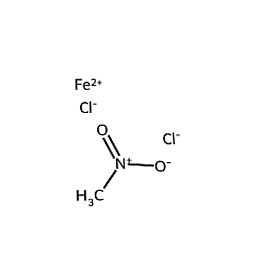 C[N+](=O)[O-].[Cl-].[Cl-].[Fe+2]